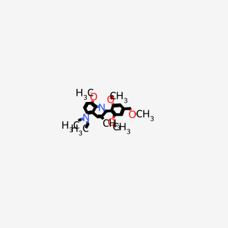 CCN(CC)c1ccc(OC)c2nc(-c3c(OC)cc(COC)cc3OC)c(C)cc12